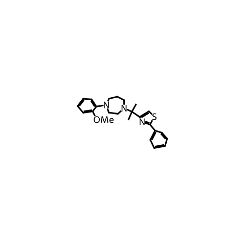 COc1ccccc1N1CCCN(C(C)(C)c2csc(-c3ccccc3)n2)CC1